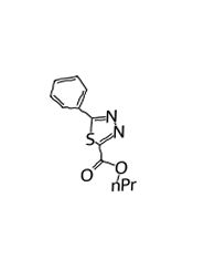 CCCOC(=O)c1nnc(-c2ccccc2)s1